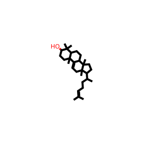 CC(C)=CCCC(C)C1CCC2(C)C3CCC4C(C)(CCC(O)C4(C)C)C3=CCC12C